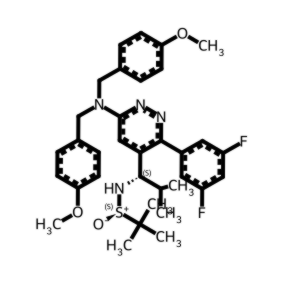 COc1ccc(CN(Cc2ccc(OC)cc2)c2cc([C@@H](N[S@+]([O-])C(C)(C)C)C(C)C)c(-c3cc(F)cc(F)c3)nn2)cc1